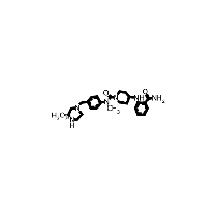 C[C@H]1CN(Cc2ccc(N(C)C(=O)N3CCC(Nc4ccccc4C(N)=O)CC3)cc2)CCN1